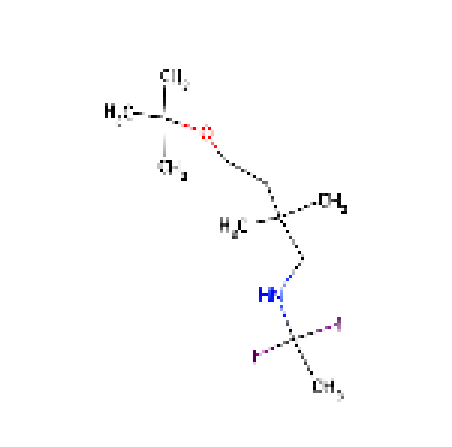 CC(C)(CCOC(C)(C)C)CNC(C)(I)I